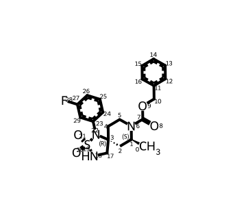 C[C@H]1C[C@]2(CCN1C(=O)OCc1ccccc1)CNS(=O)(=O)N2c1cccc(F)c1